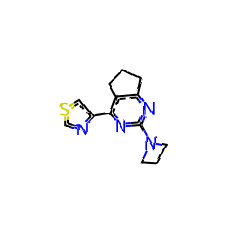 c1nc(-c2nc(N3CCC3)nc3c2CCC3)cs1